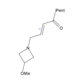 CCCC(C)C(=O)/C=C/CN1CC(OC)C1